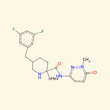 CCCCCCC1(C(=O)Nc2ccc(=O)n(C)n2)CCC(Cc2cc(F)cc(F)c2)CN1